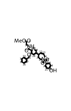 COC(=O)CNC(=O)c1ncc(C2C=CCN(S(=O)(=O)c3ccc(O)cc3)CC2)cc1OCc1ccccc1